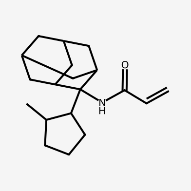 C=CC(=O)NC1(C2CCCC2C)C2CC3CC(C2)CC1C3